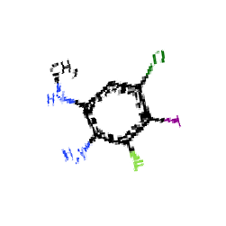 CNc1cc(Cl)c(I)c(F)c1N